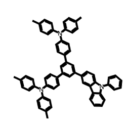 Cc1ccc(N(c2ccc(C)cc2)c2ccc(-c3cc(-c4ccc(N(c5ccc(C)cc5)c5ccc(C)cc5)cc4)cc(-c4ccc5c(c4)c4ccccc4n5-c4ccccc4)c3)cc2)cc1